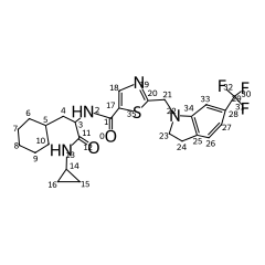 O=C(NC(CC1CCCCC1)C(=O)NC1CC1)c1cnc(CN2CCc3ccc(C(F)(F)F)cc32)s1